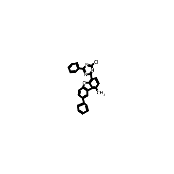 Cc1ccc(-c2nc(Cl)nc(-c3ccccc3)n2)c2oc3ccc(-c4ccccc4)cc3c12